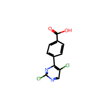 O=C(O)c1ccc(-c2nc(Cl)ncc2Cl)cc1